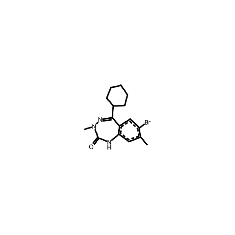 Cc1cc2c(cc1Br)C(C1CCCCC1)=NN(C)C(=O)N2